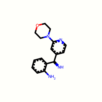 N=C(c1ccnc(N2CCOCC2)c1)c1ccccc1N